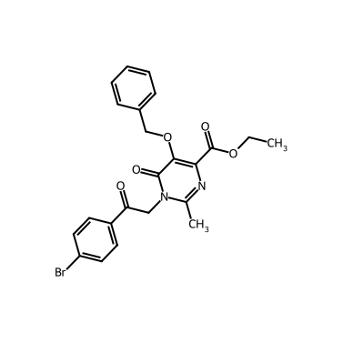 CCOC(=O)c1nc(C)n(CC(=O)c2ccc(Br)cc2)c(=O)c1OCc1ccccc1